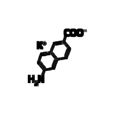 Nc1ccc2cc(C(=O)[O-])ccc2c1.[K+]